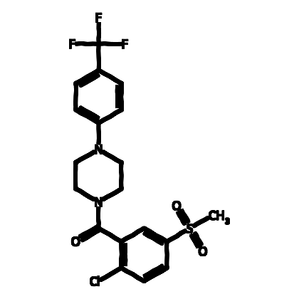 CS(=O)(=O)c1ccc(Cl)c(C(=O)N2CCN(c3ccc(C(F)(F)F)cc3)CC2)c1